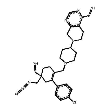 [N-]=[N+]=NCC1(C=N)CCC(CN2CCC(N3CCc4c(ncnc4N=N)C3)CC2)=C(c2ccc(Cl)cc2)C1